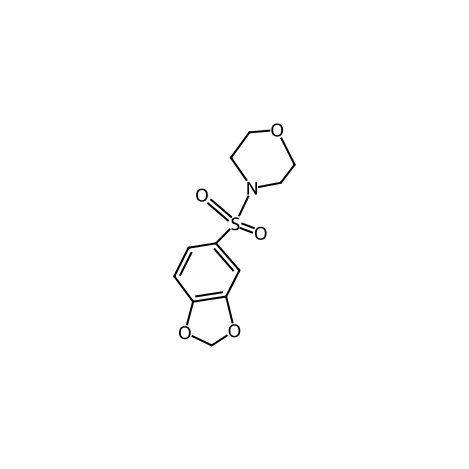 O=S(=O)(c1ccc2c(c1)OCO2)N1CCOCC1